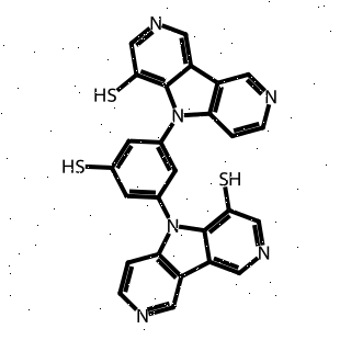 Sc1cc(-n2c3ccncc3c3cncc(S)c32)cc(-n2c3ccncc3c3cncc(S)c32)c1